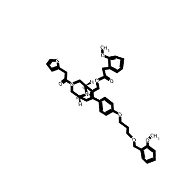 COc1ccccc1COCCCOc1ccc(C2=C(COC(=O)Cc3ccccc3OC)[C@H]3CN(C(=O)Cc4cccs4)C[C@@H](C2)N3)cc1